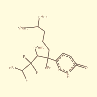 CCCCCCC(CCCCC)CCCC(CCC)(c1ccc(=O)[nH]n1)C(CCCCC)C(F)(F)C(F)CCCC